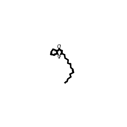 CCCCC/C=C\CCCCCCc1cc(=O)c2ccccc2n1C